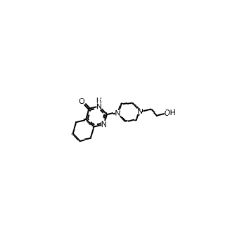 O=c1[nH]c(N2CCN(CCO)CC2)nc2c1CCCC2